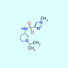 CC(C)N1CCCC(NS(=O)(=O)c2cn(C)cn2)C1